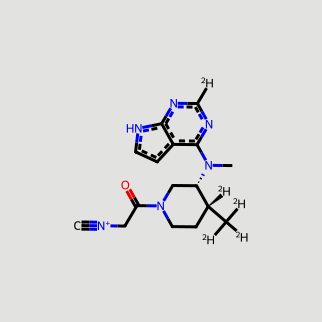 [2H]c1nc(N(C)[C@H]2CN(C(=O)C[N+]#[C-])CC[C@@]2([2H])C([2H])([2H])[2H])c2cc[nH]c2n1